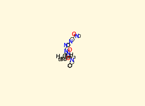 CC(C)(C)[Si](C)(C)O[C@H](CN1CCc2ccccc2C1)CN1CCN(Cc2ccc(N3CCC(C(=O)N4CCCC4)CC3)cn2)C1=O